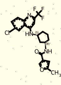 Cc1cc(C(=O)N[C@@H]2CCC[C@H](Nc3cc(C(F)(F)F)nc4ccc(Cl)cc34)C2)co1